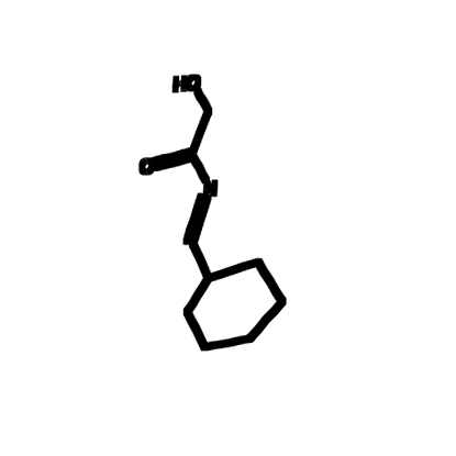 O=C(CO)/N=C/C1CCCCC1